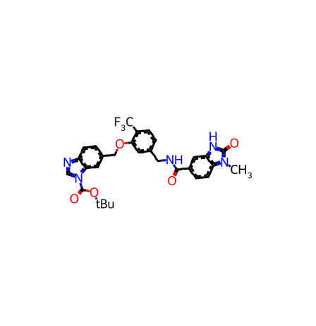 Cn1c(=O)[nH]c2cc(C(=O)NCc3ccc(C(F)(F)F)c(OCc4ccc5ncn(C(=O)OC(C)(C)C)c5c4)c3)ccc21